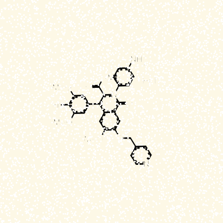 COC(=O)c1c(-c2cc(OC)c(Br)c(OC)c2)c2cc(OC)c(OCc3ccncc3)cc2c(=O)n1-c1ccc(N)cc1.Cl.Cl